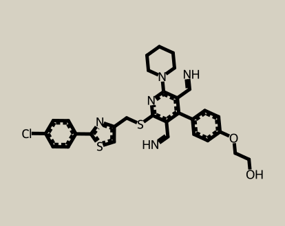 N=Cc1c(SCc2csc(-c3ccc(Cl)cc3)n2)nc(N2CCCCC2)c(C=N)c1-c1ccc(OCCO)cc1